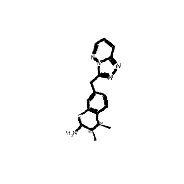 C[C@@H]1c2ccc(Cc3nnc4cccnn34)cc2SC(N)[C@@H]1C